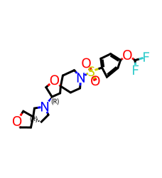 O=S(=O)(c1ccc(OC(F)F)cc1)N1CCC2(CC1)C[C@@H](N1CC[C@@]3(CCOC3)C1)CO2